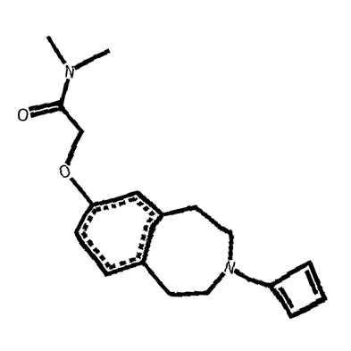 CN(C)C(=O)COc1ccc2c(c1)CCN(C1=CC=C1)CC2